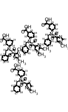 Cc1nc(C)c(S(=O)(=O)N(Cc2ccccc2)c2cccc(C(=O)O)c2)s1.Cc1nc(S(=O)(=O)N(Cc2ccccc2)c2cccc(C(=O)O)c2)cn1C.Cn1ccc(S(=O)(=O)N(Cc2ccccc2)c2cccc(C(=O)O)c2)n1.Cn1cnc(S(=O)(=O)N(Cc2ccccc2)c2cccc(C(=O)O)c2)c1